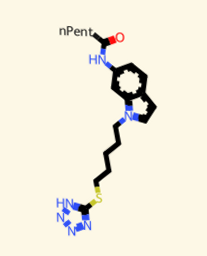 CCCCCC(=O)Nc1ccc2ccn(CCCCCSc3nnn[nH]3)c2c1